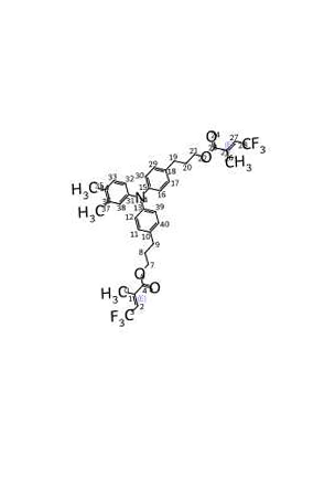 C/C(=C\C(F)(F)F)C(=O)OCCCc1ccc(N(c2ccc(CCCOC(=O)/C(C)=C/C(F)(F)F)cc2)c2ccc(C)c(C)c2)cc1